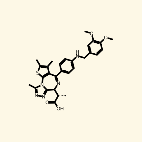 COc1ccc(CNc2ccc(C3=NC([C@H](C)C(=O)O)c4nnc(C)n4-c4sc(C)c(C)c43)cc2)cc1OC